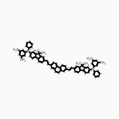 Cc1cc(C)cc(N(c2ccccc2)c2ccc3c(c2)C(C)(C)c2cc(/C=C/c4ccc5c(ccc6cc(/C=C/c7ccc8c(c7)C(C)(C)c7cc(N(c9ccccc9)c9cc(C)cc(C)c9)ccc7-8)ccc65)c4)ccc2-3)c1